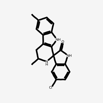 Cc1ccc2[nH]c3c(c2c1)CC(C)NC31C(=O)Nc2ccc(Cl)cc21